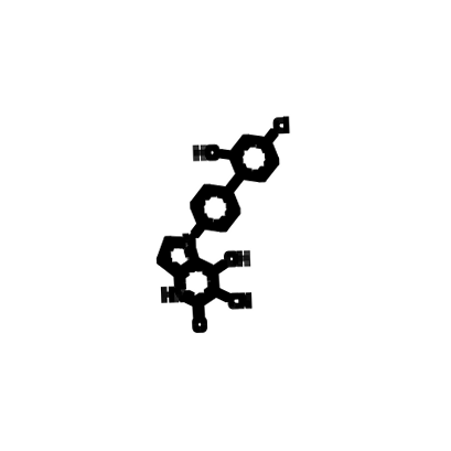 N#Cc1c(O)c2c(ccn2-c2ccc(-c3ccc(Cl)cc3O)cc2)[nH]c1=O